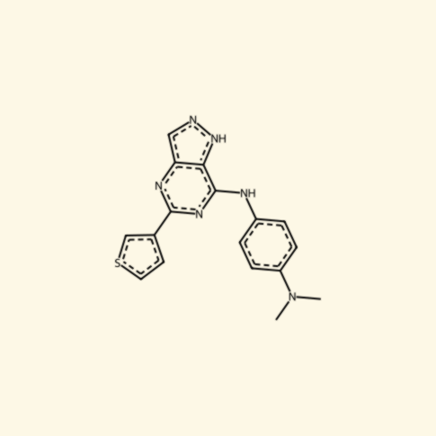 CN(C)c1ccc(Nc2nc(-c3ccsc3)nc3cn[nH]c23)cc1